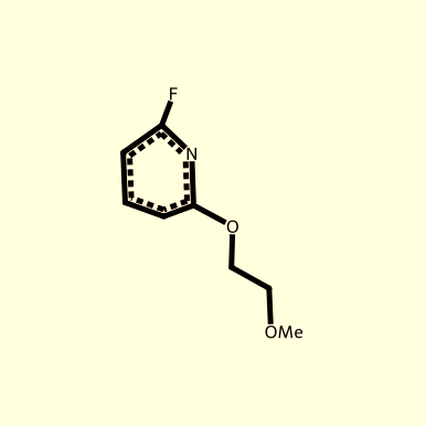 COCCOc1cccc(F)n1